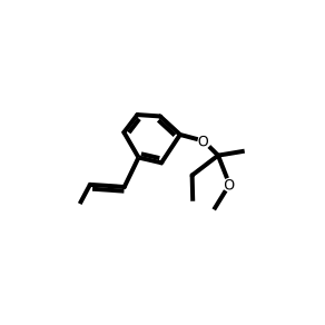 CC=Cc1cccc(OC(C)(CC)OC)c1